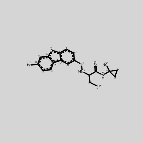 CC(C)CC(NSc1ccc2sc3cc(Br)ccc3c2c1)C(=O)NC1(C#N)CC1